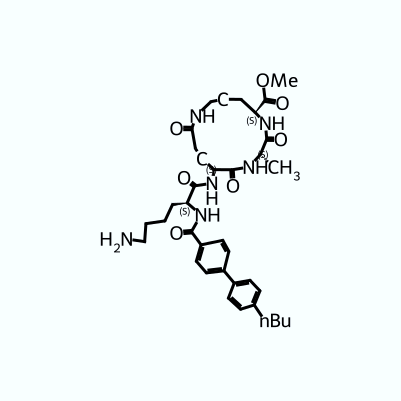 CCCCc1ccc(-c2ccc(C(=O)N[C@@H](CCCCN)C(=O)N[C@H]3CCC(=O)NCCC[C@@H](C(=O)OC)NC(=O)[C@H](C)NC3=O)cc2)cc1